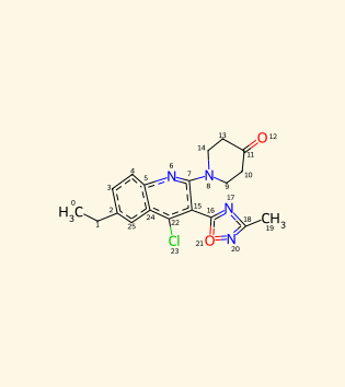 CCc1ccc2nc(N3CCC(=O)CC3)c(-c3nc(C)no3)c(Cl)c2c1